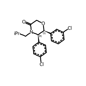 CC(C)CN1C(=O)CO[C@@H](c2cccc(Cl)c2)[C@H]1c1ccc(Cl)cc1